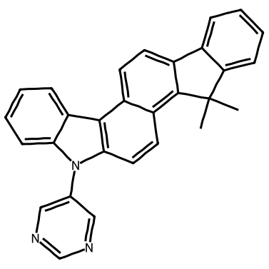 CC1(C)c2ccccc2-c2ccc3c(ccc4c3c3ccccc3n4-c3cncnc3)c21